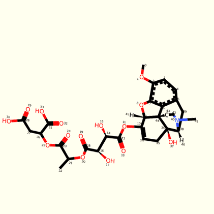 COc1ccc2c3c1O[C@H]1C(OC(=O)[C@H](O)[C@@H](O)C(=O)OC(C)C(=O)OC(CC(=O)O)C(=O)O)=CC[C@@]4(O)[C@@H](C2)N(C)CC[C@]314